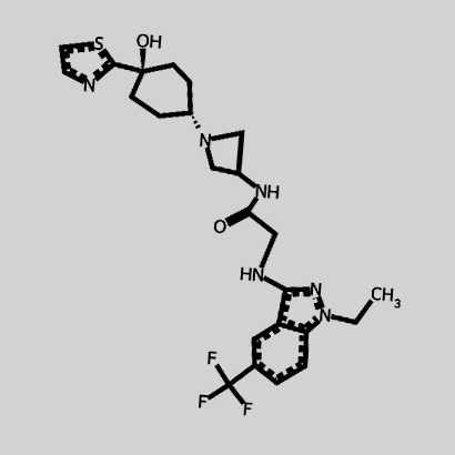 CCn1nc(NCC(=O)NC2CN([C@H]3CC[C@@](O)(c4nccs4)CC3)C2)c2cc(C(F)(F)F)ccc21